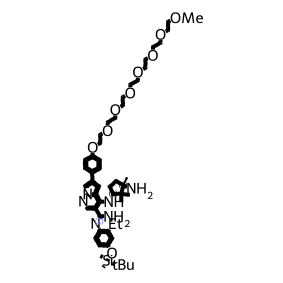 CCc1cc(O[Si](C)(C)C(C)(C)C)ccc1/N=C(\N)c1cnn2cc(-c3ccc(OCCOCCOCCOCCOCCOCCOCCOC)cc3)cc2c1N[C@@H]1CC[C@](C)(N)C1(C)C